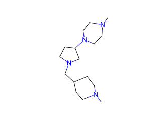 CN1CCC(CN2CCC(N3CCN(C)CC3)C2)CC1